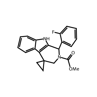 COC(=O)N1CC2(CC2)c2c([nH]c3ccccc23)C1c1ccccc1F